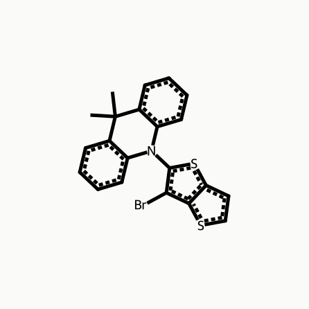 CC1(C)c2ccccc2N(c2sc3ccsc3c2Br)c2ccccc21